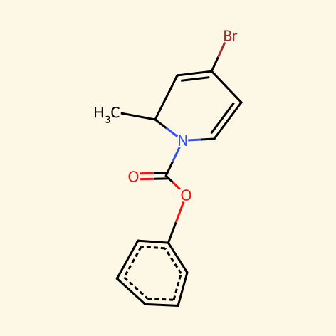 CC1C=C(Br)C=CN1C(=O)Oc1ccccc1